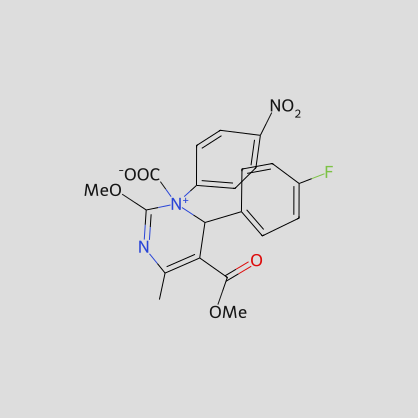 COC(=O)C1=C(C)N=C(OC)[N+](C(=O)[O-])(c2ccc([N+](=O)[O-])cc2)C1c1ccc(F)cc1